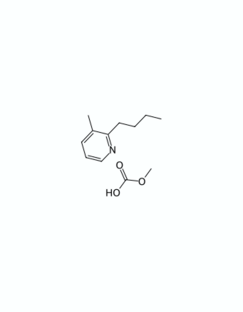 CCCCc1ncccc1C.COC(=O)O